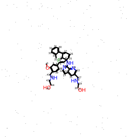 COc1cc(/C(F)=C/C2(Nc3nccc4cc(CNCCO)cnc34)C=CC=C(c3ccccc3C)C2C)ccc1CNCCO